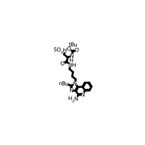 CCCCc1nc2c(N)nc3ccccc3c2n1CCCCNC(=O)C(CS(=O)(=O)O)NC(=O)OC(C)(C)C